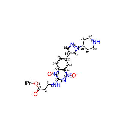 CC(C)OC(=O)CCNc1n[n+]([O-])c2cc(-c3cnn(C4CCNCC4)c3)ccc2[n+]1[O-]